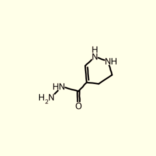 NNC(=O)C1=CNNCC1